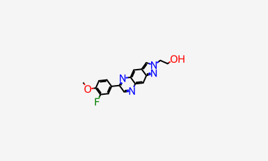 COc1ccc(-c2cnc3cc4nn(CCO)cc4cc3n2)cc1F